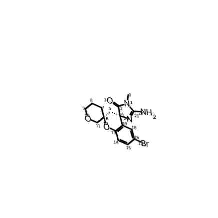 CN1C(=O)[C@@]2(C[C@]3(CCCOC3)Oc3ccc(Br)cc32)N=C1N